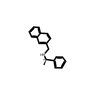 C[C@@H](NCc1ccc2ccccc2c1)c1ccccc1